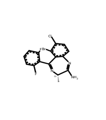 C[C@@H]1N=C(c2c(F)cccc2F)c2c(ccc(Cl)c2Br)N=C1N